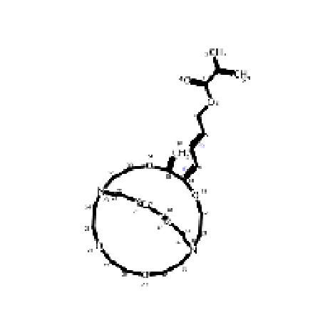 C=C(C)C(=O)OC/C=C/C=C1/OCCN2CCOCCOCCN(CCOCCOCC2)CCOC1=C